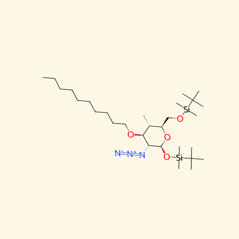 CCCCCCCCCCO[C@H]1[C@H](C)[C@@H](CO[Si](C)(C)C(C)(C)C)O[C@@H](O[Si](C)(C)C(C)(C)C)[C@@H]1N=[N+]=[N-]